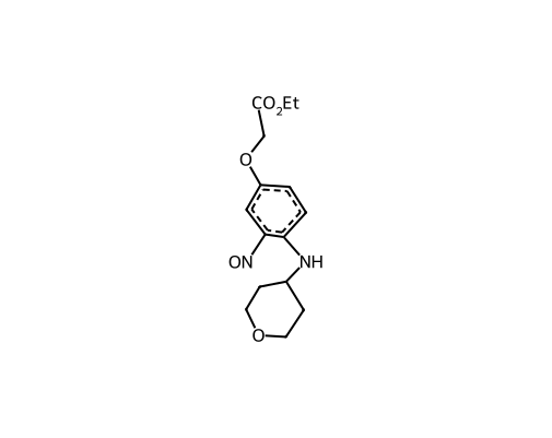 CCOC(=O)COc1ccc(NC2CCOCC2)c(N=O)c1